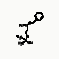 CC(=O)[C@H](CCO[Si](C)(C)C(C)(C)C)OCc1ccccc1